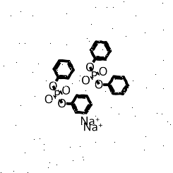 O=P([O-])(Oc1ccccc1)Oc1ccccc1.O=P([O-])(Oc1ccccc1)Oc1ccccc1.[Na+].[Na+]